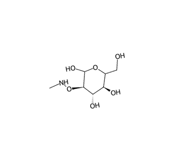 CNO[C@H]1C(O)OC(CO)[C@@H](O)[C@@H]1O